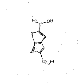 O=C(O)c1ccc2sc(B(O)O)cc2c1